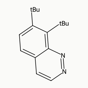 CC(C)(C)c1ccc2ccnnc2c1C(C)(C)C